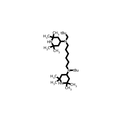 CC(C)(C)CN(CCCCCCN(C1CC(C)(C)NC(C)(C)C1)C(C)(C)C)C1CC(C)(C)NC(C)(C)C1